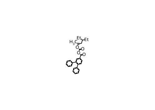 CCC(CC)C[C@@H](C)OC(=O)OC(=O)c1ccc(-c2ccccc2)c(-c2ccccc2)c1